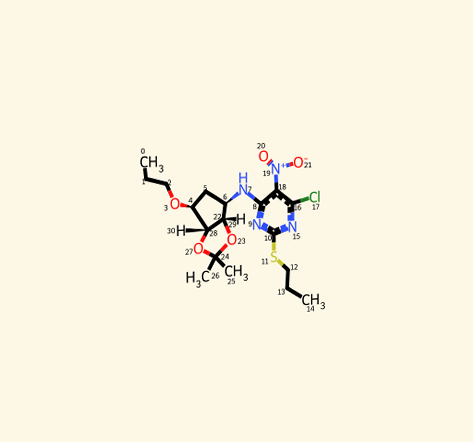 CCCO[C@H]1C[C@@H](Nc2nc(SCCC)nc(Cl)c2[N+](=O)[O-])[C@@H]2OC(C)(C)O[C@@H]21